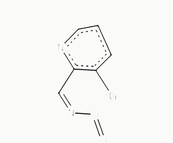 O=[SH]/N=C\c1ncccc1Br